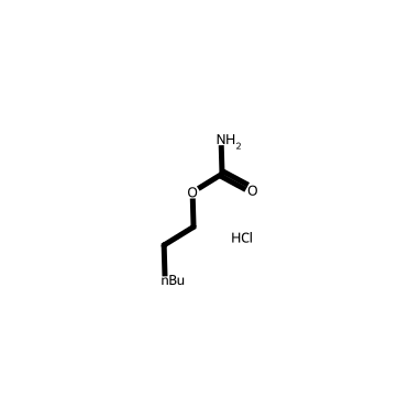 CCCCCCOC(N)=O.Cl